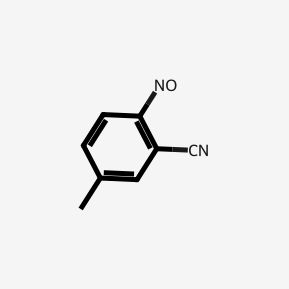 Cc1ccc(N=O)c(C#N)c1